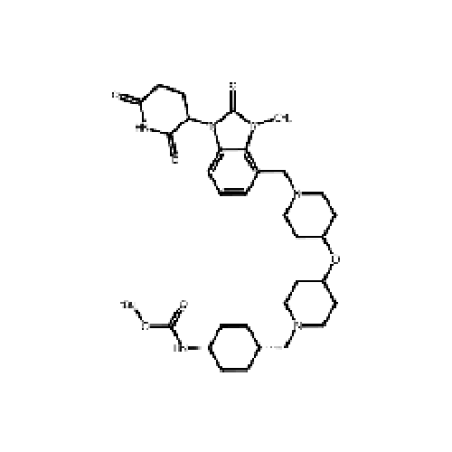 Cn1c(=O)n(C2CCC(=O)NC2=O)c2cccc(CN3CCC(OC4CCN(C[C@H]5CC[C@H](NC(=O)OC(C)(C)C)CC5)CC4)CC3)c21